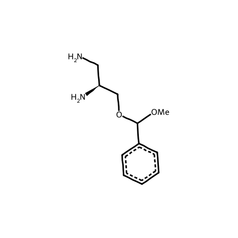 COC(OC[C@@H](N)CN)c1ccccc1